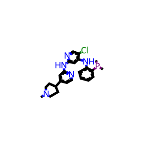 CN1CCC(c2ccnc(Nc3cc(Nc4ccccc4P(C)C)c(Cl)cn3)c2)CC1